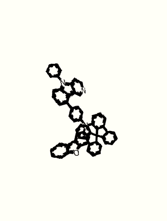 c1ccc(-n2c3ccncc3c3c(-c4ccc(N(c5ccc6oc7ccccc7c6c5)c5cccc6c5C5(c7ccccc7-c7ccccc75)c5ccccc5-6)cc4)cccc32)cc1